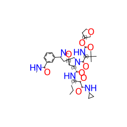 CCC[C@H](NC(=O)[C@@H]1C[C@]2(CC(c3cccc(C(=O)NC)c3)=NO2)CN1C(=O)[C@@H](NC(=O)O[C@H]1CCOC1)C(C)(C)C)C(=O)C(=O)NC1CC1